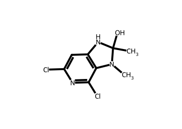 CN1c2c(cc(Cl)nc2Cl)NC1(C)O